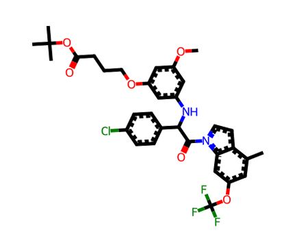 COc1cc(NC(C(=O)n2ccc3c(C)cc(OC(F)(F)F)cc32)c2ccc(Cl)cc2)cc(OCCCC(=O)OC(C)(C)C)c1